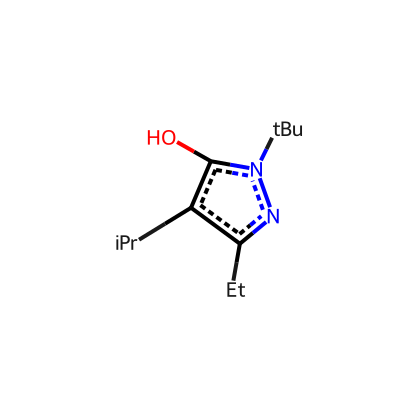 CCc1nn(C(C)(C)C)c(O)c1C(C)C